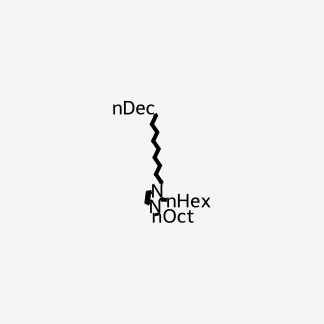 CCCCCCCCCCCCCCCCCCCN1C=CN(CCCCCCCC)C1CCCCCC